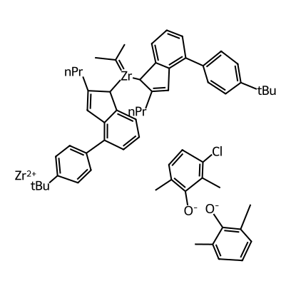 CCCC1=Cc2c(-c3ccc(C(C)(C)C)cc3)cccc2[CH]1[Zr](=[C](C)C)[CH]1C(CCC)=Cc2c(-c3ccc(C(C)(C)C)cc3)cccc21.Cc1ccc(Cl)c(C)c1[O-].Cc1cccc(C)c1[O-].[Zr+2]